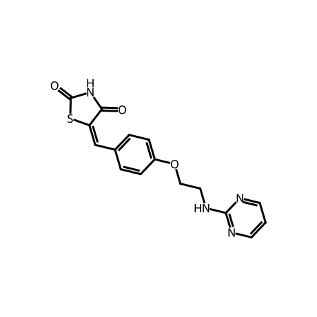 O=C1NC(=O)/C(=C\c2ccc(OCCNc3ncccn3)cc2)S1